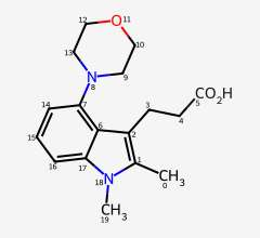 Cc1c(CCC(=O)O)c2c(N3CCOCC3)cccc2n1C